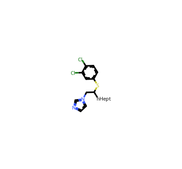 CCCCCCCC(Cn1ccnc1)Sc1ccc(Cl)c(Cl)c1